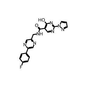 O=C(NCc1cnc(-c2ccc(F)cc2)cn1)c1cnc(-n2cccn2)nc1O